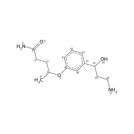 CC(CCC(N)=O)Oc1cccc(C(O)CCN)c1